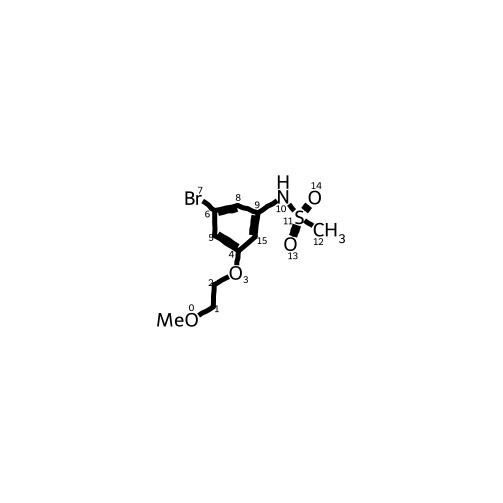 COCCOc1cc(Br)cc(NS(C)(=O)=O)c1